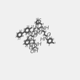 Cc1ccc(NC(=O)CCC(=O)N[C@H](Cc2cccs2)C(=O)N[C@@H](Cc2ccc(-c3ccccc3)cc2)C(=O)N[C@H](Cc2ccccc2)C(=O)NCC(=O)N[C@@H](C)C(=O)O)cc1